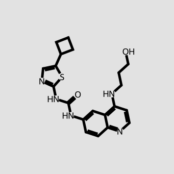 O=C(Nc1ccc2nccc(NCCCO)c2c1)Nc1ncc(C2CCC2)s1